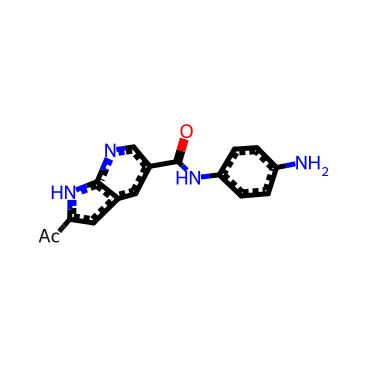 CC(=O)c1cc2cc(C(=O)Nc3ccc(N)cc3)cnc2[nH]1